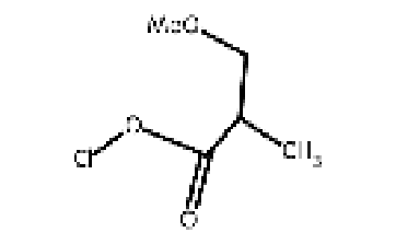 COCC(C)C(=O)OCl